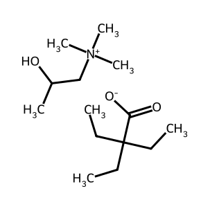 CC(O)C[N+](C)(C)C.CCC(CC)(CC)C(=O)[O-]